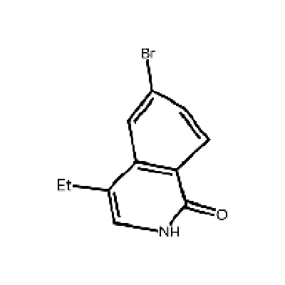 CCc1c[nH]c(=O)c2ccc(Br)cc12